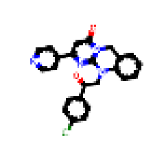 O=C(CN1c2ccccc2Cn2c1nc(-c1ccncc1)cc2=O)c1ccc(Cl)cc1